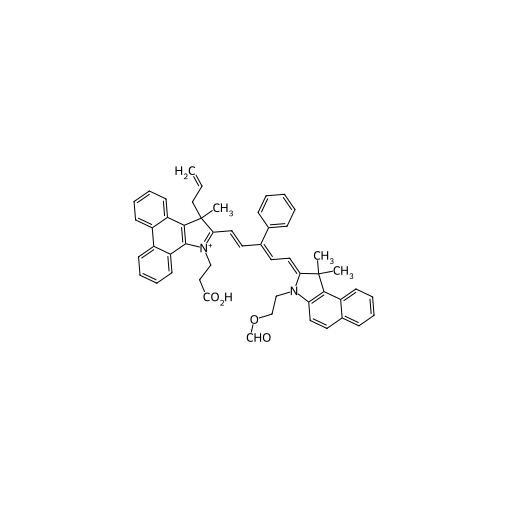 C=CCC1(C)C(/C=C/C(=C/C=C2\N(CCOC=O)c3ccc4ccccc4c3C2(C)C)c2ccccc2)=[N+](CCC(=O)O)c2c1c1ccccc1c1ccccc21